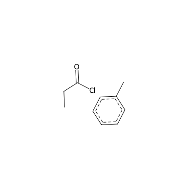 CCC(=O)Cl.Cc1ccccc1